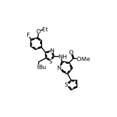 CCOc1cc(-c2nc(Nc3ncc(-c4cccs4)cc3C(=O)OC)sc2CC(C)(C)C)ccc1F